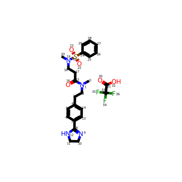 CN(CCc1ccc(C2=NCCN2)cc1)C(=O)CCN(C)S(=O)(=O)c1ccccc1.O=C(O)C(F)(F)F